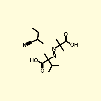 CC(C)C(C)(N=NC(C)(C)C(=O)O)C(=O)O.CCC(C)C#N